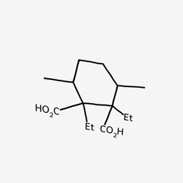 CCC1(C(=O)O)C(C)CCC(C)C1(CC)C(=O)O